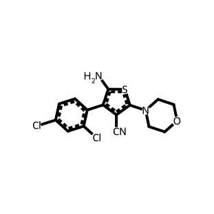 N#Cc1c(N2CCOCC2)sc(N)c1-c1ccc(Cl)cc1Cl